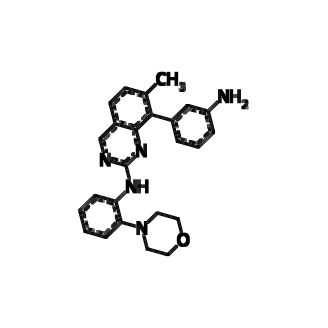 Cc1ccc2cnc(Nc3ccccc3N3CCOCC3)nc2c1-c1cccc(N)c1